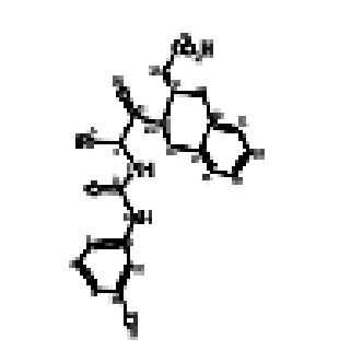 CC(C)C(NC(=O)Nc1cccc(Cl)c1)C(=O)N1Cc2ccccc2C[C@@H]1CC(=O)O